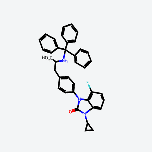 O=C(O)C(Cc1ccc(-n2c(=O)n(C3CC3)c3cccc(F)c32)cc1)NC(c1ccccc1)(c1ccccc1)c1ccccc1